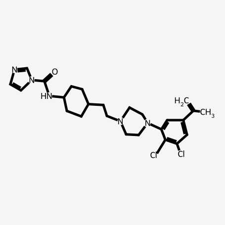 C=C(C)c1cc(Cl)c(Cl)c(N2CCN(CCC3CCC(NC(=O)n4ccnc4)CC3)CC2)c1